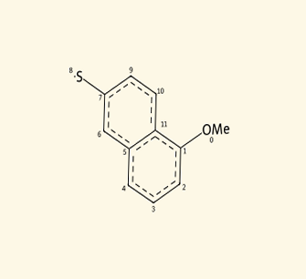 COc1cccc2cc([S])ccc12